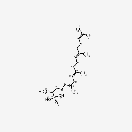 CC(C)=CCC/C(C)=C/CC/C(C)=C/CN(C)CCCC(C(=O)O)P(=O)(O)O